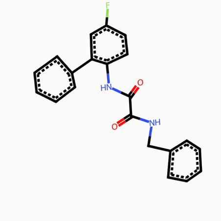 O=C(NCc1ccccc1)C(=O)Nc1ccc(F)cc1-c1ccccc1